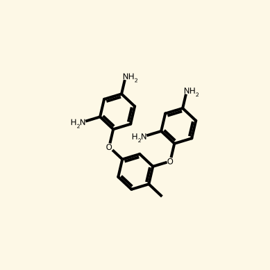 Cc1ccc(Oc2ccc(N)cc2N)cc1Oc1ccc(N)cc1N